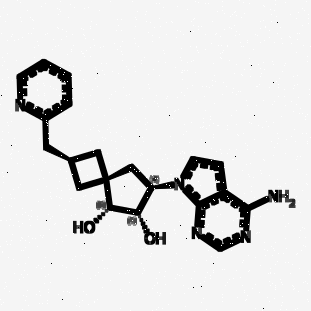 Nc1ncnc2c1ccn2[C@@H]1C[C@]2(C[C@@H](Cc3ccccn3)C2)[C@@H](O)[C@H]1O